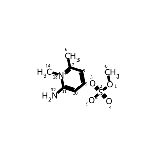 COS(=O)(=O)[O-].Cc1cccc(N)[n+]1C